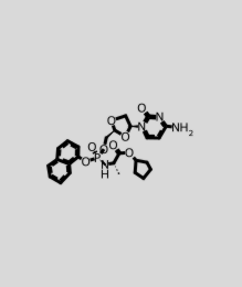 C[C@H](N[P@@](=O)(OC[C@H]1OC[C@@H](n2ccc(N)nc2=O)O1)Oc1cccc2ccccc12)C(=O)OC1CCCC1